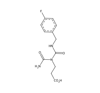 NC(=O)N(CCC(=O)O)C(=O)NCc1ccc(F)cc1